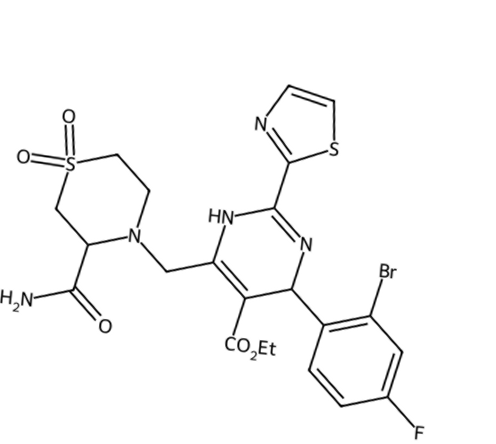 CCOC(=O)C1=C(CN2CCS(=O)(=O)CC2C(N)=O)NC(c2nccs2)=NC1c1ccc(F)cc1Br